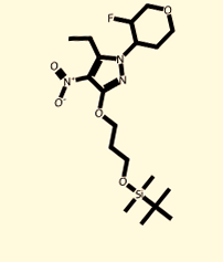 CCc1c([N+](=O)[O-])c(OCCCO[Si](C)(C)C(C)(C)C)nn1C1CCOCC1F